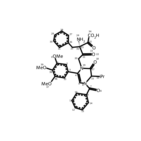 COc1cc(C2=CN(C(=O)c3ccccc3)C(C(C)C)C(=O)N2CC(=O)[C@@](N)(Cc2ccccc2)C(=O)C(=O)O)cc(OC)c1OC